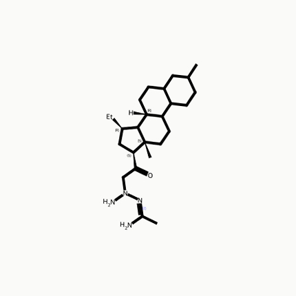 CC[C@@H]1C[C@H](C(=O)CN(N)/N=C(/C)N)[C@@]2(C)CCC3C4CCC(C)CC4CC[C@H]3C12